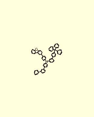 c1ccc(-c2cccc(-c3ccc(N(c4ccc(-c5ccc6oc7ccccc7c6c5)cc4)c4cccc(-c5ccc(C(c6ccccc6)(c6ccccc6)c6ccccc6)cc5)c4)cc3)c2)cc1